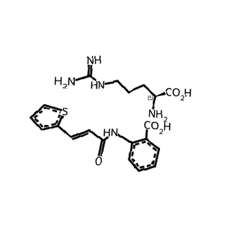 N=C(N)NCCC[C@H](N)C(=O)O.O=C(C=Cc1cccs1)Nc1ccccc1C(=O)O